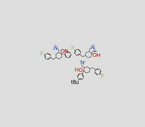 C=CC1(O)CCC(Cc2ccc(F)cc2)CC1CN(C)C.CN(C)CC1CC(Cc2ccc(F)cc2)CCC1(O)c1ccc(C(C)(C)C)cc1.Cc1ccccc1C1(O)CCC(Cc2ccc(F)cc2)CC1CN(C)C